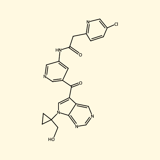 O=C(Cc1ccc(Cl)cn1)Nc1cncc(C(=O)c2cn(C3(CO)CC3)c3ncncc23)c1